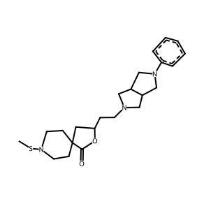 CSN1CCC2(CC1)CC(CCN1CC3CN(c4ccccc4)CC3C1)OC2=O